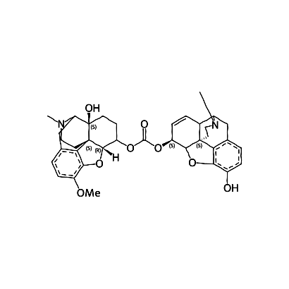 COc1ccc2c3c1O[C@H]1C(OC(=O)O[C@H]4C=CC5C6Cc7ccc(O)c8c7[C@@]5(CCN6C)C4O8)CC[C@@]4(O)C(C2)N(C)CC[C@]314